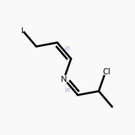 CC(Cl)/C=N\C=C/CI